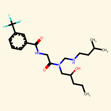 CCCC(O)CN(CNCCC(C)C)C(=O)CNC(=O)c1cccc(C(F)(F)F)c1